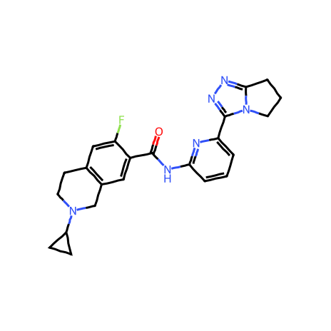 O=C(Nc1cccc(-c2nnc3n2CCC3)n1)c1cc2c(cc1F)CCN(C1CC1)C2